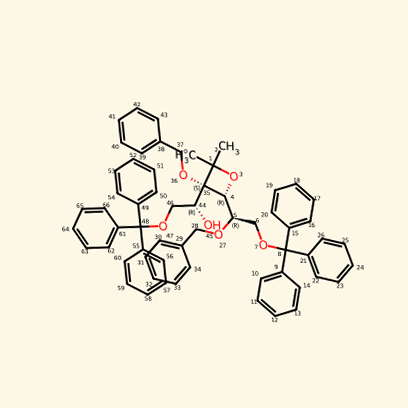 CC1(C)O[C@H]([C@@H](COC(c2ccccc2)(c2ccccc2)c2ccccc2)OCc2ccccc2)[C@@]1(OCc1ccccc1)[C@H](O)COC(c1ccccc1)(c1ccccc1)c1ccccc1